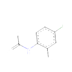 C=C(C)Nc1ccc(F)cc1C(C)C